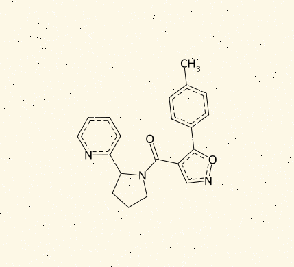 Cc1ccc(-c2oncc2C(=O)N2CCCC2c2ccccn2)cc1